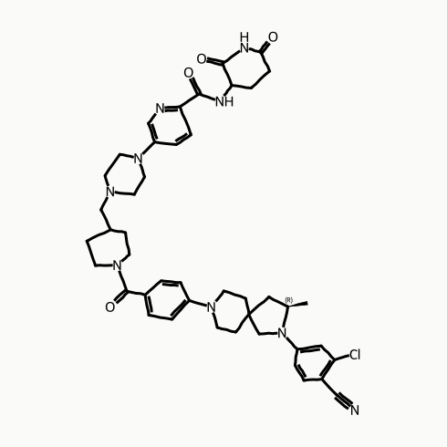 C[C@@H]1CC2(CCN(c3ccc(C(=O)N4CCC(CN5CCN(c6ccc(C(=O)NC7CCC(=O)NC7=O)nc6)CC5)CC4)cc3)CC2)CN1c1ccc(C#N)c(Cl)c1